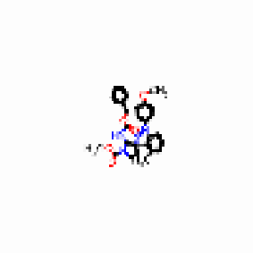 COC(=O)N1CC[C@](/N=N/c2ccc(OC)cc2)(c2ccccc2C)C1NC(=O)OCc1ccccc1